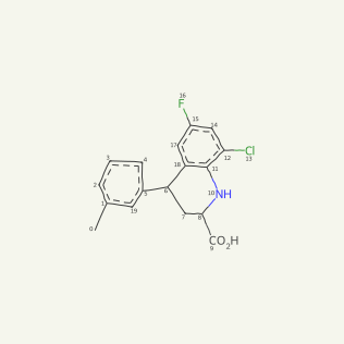 Cc1cccc(C2CC(C(=O)O)Nc3c(Cl)cc(F)cc32)c1